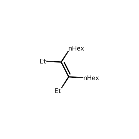 CCCCCCC(CC)=C(CC)CCCCCC